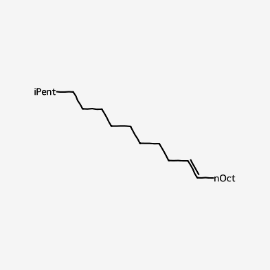 CCCCCCCCC=CCCCCCCCCC(C)CCC